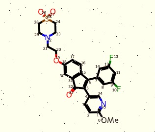 COc1ccc(C2=C(c3cc(F)cc(F)c3)c3ccc(OCCN4CCS(=O)(=O)CC4)cc3C2=O)cn1